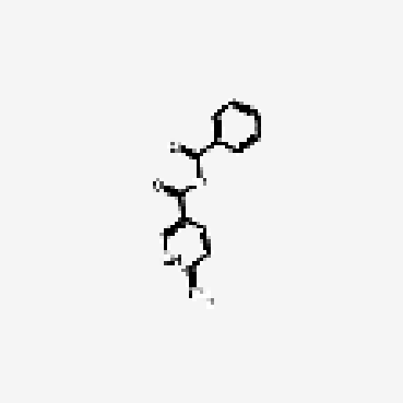 C=C/C=C\C(=C/C)C(=O)OC(=O)c1ccccc1